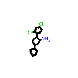 NC1CC(c2ccccc2)=CCC1c1ccc(Cl)cc1Cl